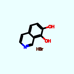 Br.Oc1ccc2ccncc2c1O